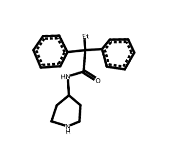 CCC(C(=O)NC1CCNCC1)(c1ccccc1)c1ccccc1